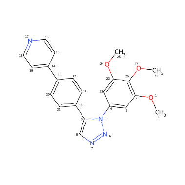 COc1cc(-n2nncc2-c2ccc(-c3ccncc3)cc2)cc(OC)c1OC